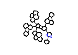 c1ccc(-c2nccc(-c3cc4c(c(-c5ccc6c7c(cccc57)-c5ccccc5-6)c3)-c3cc(-c5ccc6ccc7cccc8ccc5c6c78)c(-c5cc6c7c(cccc7c5)-c5ccccc5-6)c(-c5ccc6ccc7cccc8ccc5c6c78)c3-4)n2)cc1